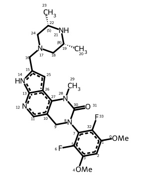 COc1cc(OC)c(F)c(N2Cc3cnc4[nH]c(CN5C[C@@H](C)N[C@@H](C)C5)cc4c3N(C)C2=O)c1F